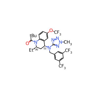 CC[C@@H]1C[C@H](N(Cc2cc(C(F)(F)F)cc(C(F)(F)F)c2)c2nnn(C)n2)c2cc(OC(F)(F)F)ccc2N1C(=O)C(C)(C)C